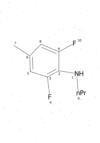 CCCNc1c(F)cc(C)cc1F